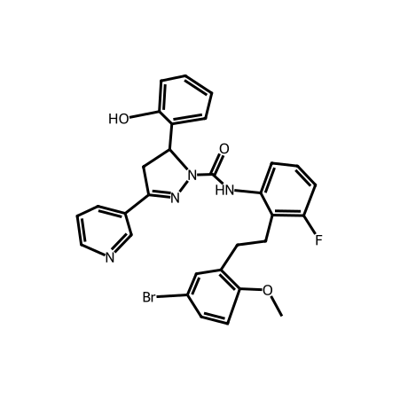 COc1ccc(Br)cc1CCc1c(F)cccc1NC(=O)N1N=C(c2cccnc2)CC1c1ccccc1O